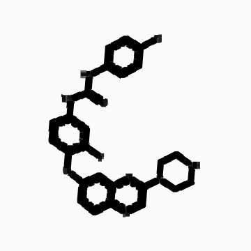 O=C(Nc1ccc(Cl)cc1)Nc1ccc(Oc2ccc3ncc(N4CCNCC4)nc3c2)c(F)c1